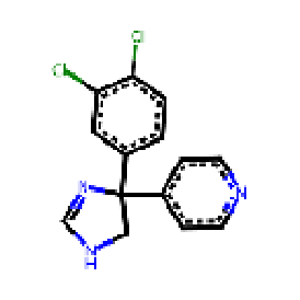 Clc1ccc(C2(c3ccncc3)CN[C]=N2)cc1Cl